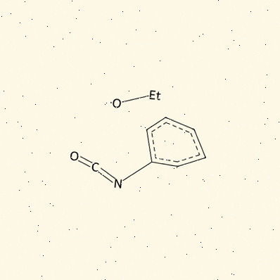 CC[O].O=C=Nc1ccccc1